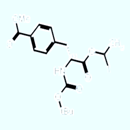 COC(=O)c1ccc(C[C@@H](NC(=O)OC(C)(C)C)C(=O)OC(C)I)cc1